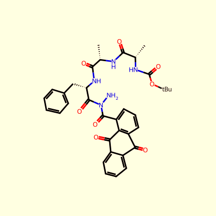 C[C@H](NC(=O)OC(C)(C)C)C(=O)N[C@@H](C)C(=O)N[C@@H](Cc1ccccc1)C(=O)N(N)C(=O)c1cccc2c1C(=O)c1ccccc1C2=O